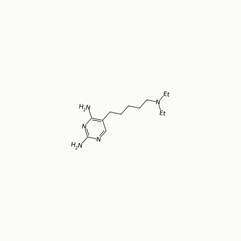 CCN(CC)CCCCCc1cnc(N)nc1N